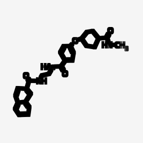 CNC(=O)C1CCC(Oc2ccc(C(=O)[AsH]CCNC(=O)c3ccc4ccccc4c3)cc2)CC1